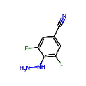 N#Cc1cc(F)c(NN)c(F)c1